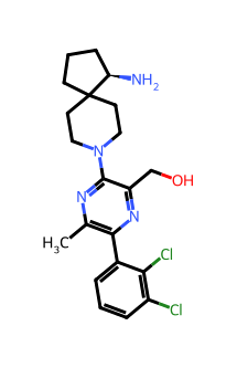 Cc1nc(N2CCC3(CCC[C@H]3N)CC2)c(CO)nc1-c1cccc(Cl)c1Cl